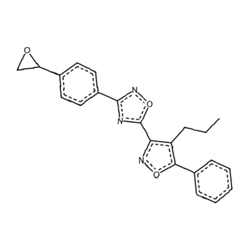 CCCc1c(-c2nc(-c3ccc(C4CO4)cc3)no2)noc1-c1ccccc1